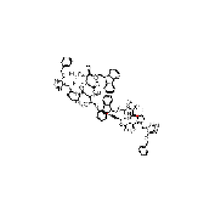 CC(OCC#CC#CCOC(C)[C@H](NC(=O)[C@H](C)N(C)C(=O)OCC1c2ccccc2-c2ccccc21)C(=O)N1CCC[C@H]1Cn1nnnc1OCc1ccccc1)[C@H](NC(=O)[C@H](C)N(C)C(=O)OCC1c2ccccc2-c2ccccc21)C(=O)N1CCC[C@H]1Cn1nnnc1OCc1ccccc1